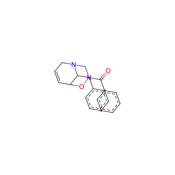 O=C(c1ccccc1)N1CN2CC=CC(O1)C2Cc1ccccc1